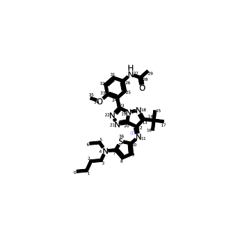 CCCCN(CC)c1ccc(/N=C2/C(C(C)(C)C)=Nn3c2nnc3-c2cc(NC(C)=O)ccc2OC)s1